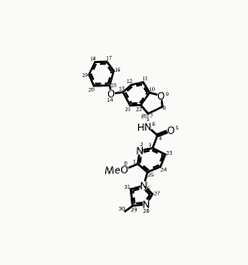 COc1nc(C(=O)N[C@H]2COc3ccc(Oc4ccccc4)cc32)ccc1-n1cnc(C)c1